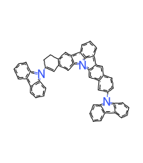 C1=C(n2c3ccccc3c3ccccc32)CCc2cc3c4cccc5c6cc7ccc(-n8c9ccccc9c9ccccc98)cc7cc6n(c3cc21)c45